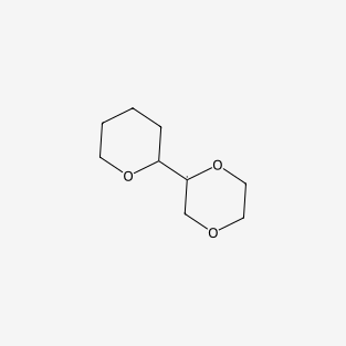 C1CCC([C]2COCCO2)OC1